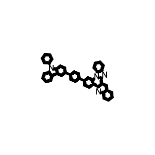 c1ccc(-n2c3ccccc3c3cc(-c4ccc(-c5ccc6c7nc8ccccc8cc7c7nc8ccccc8n7c6c5)cc4)ccc32)cc1